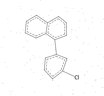 Clc1[c]ccc(-c2cccc3ccccc23)c1